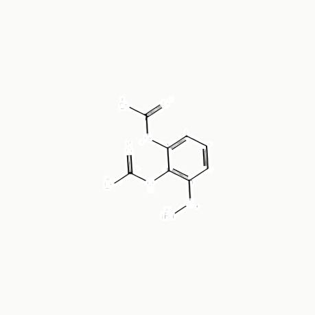 CCC(=O)Oc1cccc(OC(C)(C)C)c1OC(=O)CC